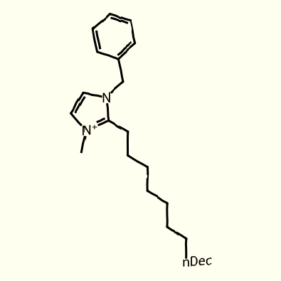 CCCCCCCCCCCCCCCCCc1n(Cc2ccccc2)cc[n+]1C